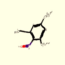 COc1cc(C(=O)O)cc(C(=O)O)c1I=O